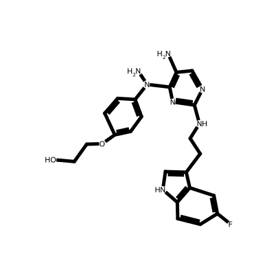 Nc1cnc(NCCc2c[nH]c3ccc(F)cc23)nc1N(N)c1ccc(OCCO)cc1